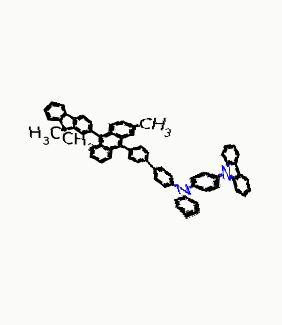 Cc1ccc2c(-c3ccc4c(c3)C(C)(C)c3ccccc3-4)c3ccccc3c(-c3ccc(-c4ccc(N(c5ccccc5)c5ccc(-n6c7ccccc7c7ccccc76)cc5)cc4)cc3)c2c1